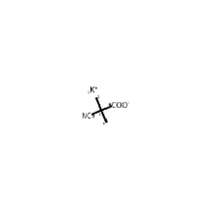 CC(C)(C#N)C(=O)[O-].[K+]